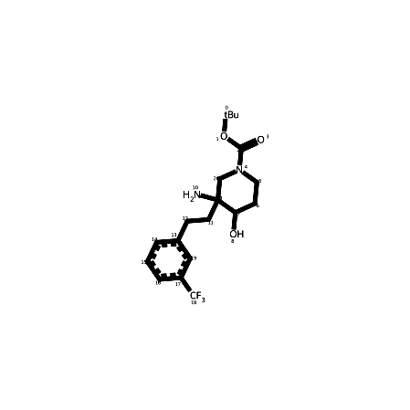 CC(C)(C)OC(=O)N1CCC(O)C(N)(CCc2cccc(C(F)(F)F)c2)C1